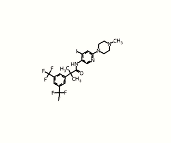 CN1CCN(c2cc(I)c(NC(=O)C(C)(C)c3cc(C(F)(F)F)cc(C(F)(F)F)c3)cn2)CC1